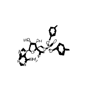 Cc1ccc(OP(=O)(OC[C@@]2(C(F)F)O[C@@H](n3cnc4ncnc(N)c43)[C@H](O)[C@@H]2O)Oc2ccc(C)cc2)cc1